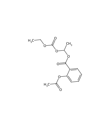 CCOC(=O)OC(C)OC(=O)c1ccccc1OC(C)=O